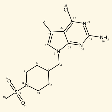 Cc1cn(CC2CCN(S(C)(=O)=O)CC2)c2nc(N)nc(Cl)c12